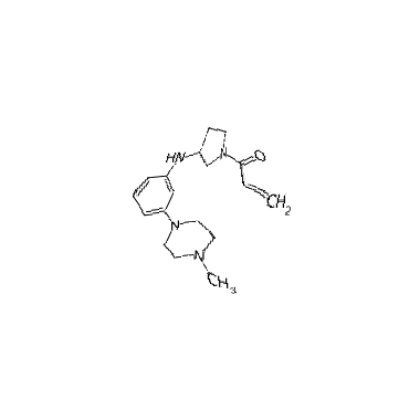 C=CC(=O)N1CCC(Nc2cccc(N3CCN(C)CC3)c2)C1